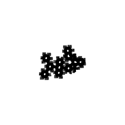 CC1(C)c2ccc(-c3c4ccccc4c(-c4cc(-c5ccccc5)cc(-c5ccccc5)c4)c4ccccc34)cc2-c2c1c1ccncc1c1sc3c4ccccc4ccc3c21